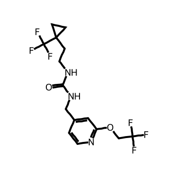 O=C(NCCC1(C(F)(F)F)CC1)NCc1ccnc(OCC(F)(F)F)c1